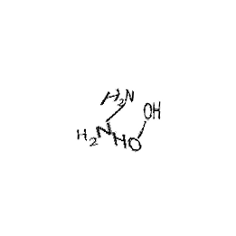 NN.OO